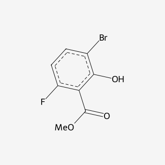 COC(=O)c1c(F)ccc(Br)c1O